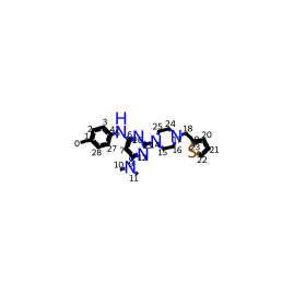 Cc1ccc(Nc2cc(N(C)C)nc(N3CCN(Cc4cccs4)CC3)n2)cc1